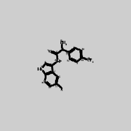 CC(C(=O)Nc1c[nH]c2ncc(F)cc12)c1ccc(C(F)(F)F)cc1